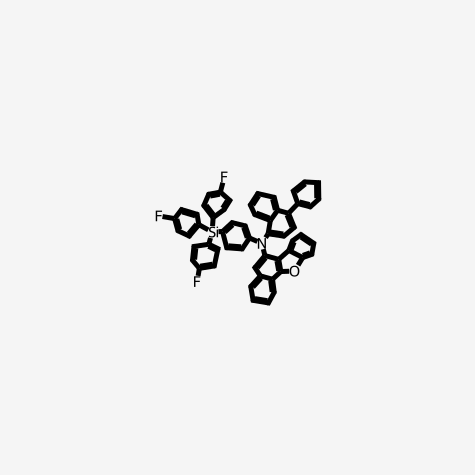 Fc1ccc([Si](c2ccc(F)cc2)(c2ccc(F)cc2)c2ccc(N(c3ccc(-c4ccccc4)c4ccccc34)c3cc4ccccc4c4oc5ccccc5c34)cc2)cc1